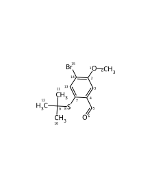 COc1cc(C=O)c(SC(C)(C)C)cc1Br